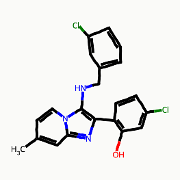 Cc1ccn2c(NCc3cccc(Cl)c3)c(-c3ccc(Cl)cc3O)nc2c1